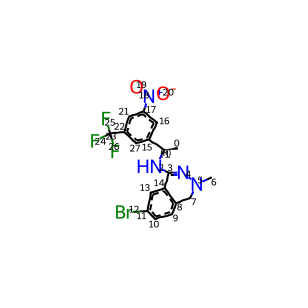 C[C@@H](NC1=NN(C)Cc2ccc(Br)cc21)c1cc([N+](=O)[O-])cc(C(F)(F)F)c1